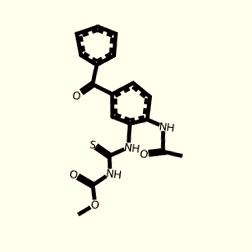 COC(=O)NC(=S)Nc1cc(C(=O)c2ccccc2)ccc1NC(C)=O